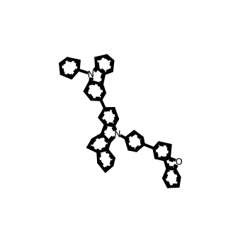 c1ccc(-n2c3ccccc3c3cc(-c4ccc5c(c4)c4ccc6ccccc6c4n5-c4ccc(-c5ccc6oc7ccccc7c6c5)cc4)ccc32)cc1